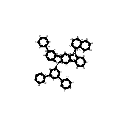 c1ccc(-c2cc(-c3ccccc3)cc(-n3c4ccc(-c5ccccc5)cc4c4cc5c(cc43)c3ccccc3n5-c3cccc4ccccc34)c2)cc1